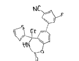 CCC1(c2cccs2)NCC(=O)Oc2ccc(-c3cc(F)cc(C#N)c3)cc21